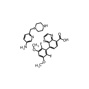 COc1cc(OC)c(F)c(-c2ccc(C(=O)O)c3nccnc23)c1F.Nc1ccc(CN2CCNCC2)nc1